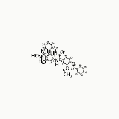 CCOc1cc(C(Nc2ccc(C(=N)NO)c(O)c2)C(=O)NCc2ccccc2)ccc1OCc1ccccc1